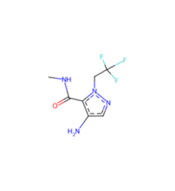 CNC(=O)c1c(N)cnn1CC(F)(F)F